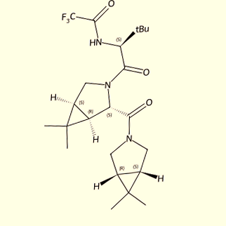 CC(C)(C)[C@H](NC(=O)C(F)(F)F)C(=O)N1C[C@H]2[C@@H]([C@H]1C(=O)N1C[C@@H]3[C@H](C1)C3(C)C)C2(C)C